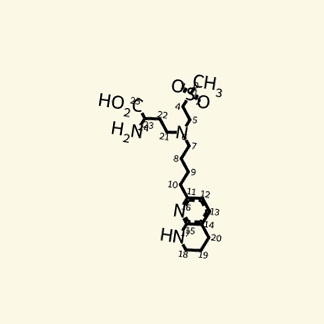 CS(=O)(=O)CCN(CCCCc1ccc2c(n1)NCCC2)CCC(N)C(=O)O